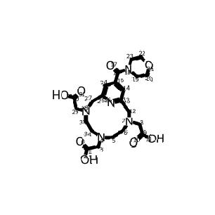 O=C(O)CN1CCN(CC(=O)O)Cc2cc(C(=O)N3CCOCC3)cc(n2)CN(CC(=O)O)CC1